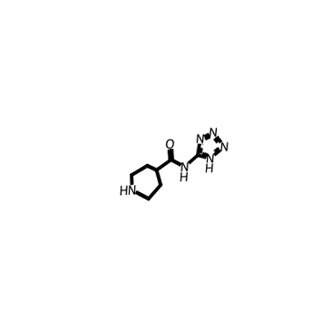 O=C(Nc1nnn[nH]1)C1CCNCC1